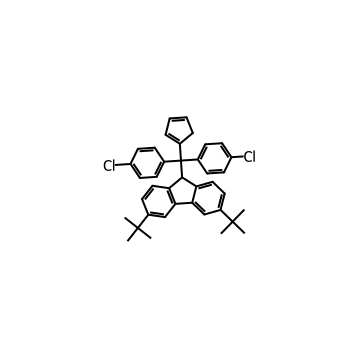 CC(C)(C)c1ccc2c(c1)-c1cc(C(C)(C)C)ccc1C2C(C1=CC=CC1)(c1ccc(Cl)cc1)c1ccc(Cl)cc1